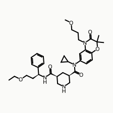 CCOCC[C@H](NC(=O)[C@@H]1CNC[C@H](C(=O)N(c2ccc3c(c2)N(CCCOC)C(=O)C(C)(C)O3)C2CC2)C1)c1ccccc1